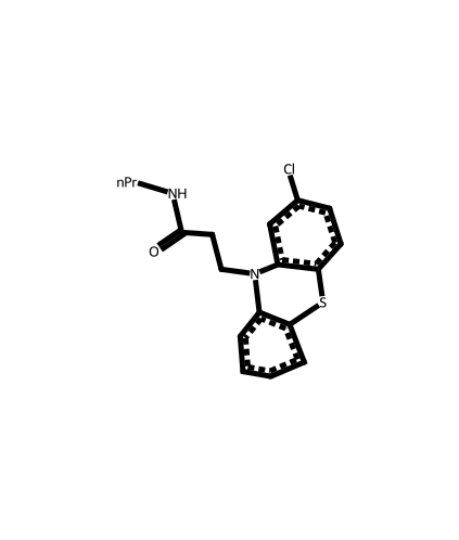 CCCNC(=O)CCN1c2ccccc2Sc2ccc(Cl)cc21